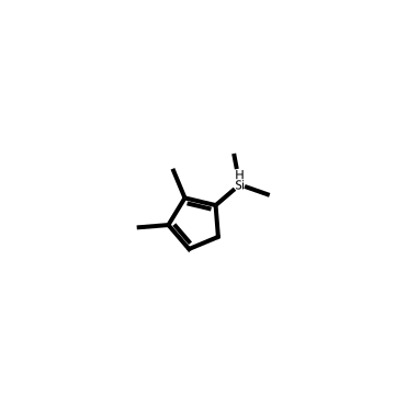 CC1=[C]CC([SiH](C)C)=C1C